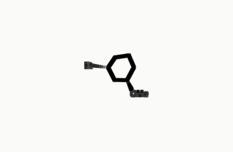 CC[C@@H]1CCC[C@@H](OC)C1